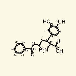 CC(CC(c1ccc(O)c(O)c1)C(N)C(=O)O)OC(=O)c1ccccc1